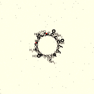 CCCC[C@H]1C(=O)N(C)[C@@H](CCCC)C(=O)N[C@@H](CC(C)C)C(=O)N[C@H](C(=O)NCC(N)=O)CSCC(=O)N[C@@H](Cc2ccc(O)cc2)C(=O)N(CC)[C@@H](C)C(=O)N[C@@H](CC(N)=O)C(=O)N2CCC[C@H]2C(=O)N[C@@H](Cc2cnc[nH]2)C(=O)C[C@@H](CCC(=O)O)C(=O)N2C[C@H](O)C[C@H]2C(=O)N[C@@H](Cc2c[nH]c3ccccc23)C(=O)N[C@@H](CCN)C(=O)N[C@@H](Cc2c[nH]c3ccccc23)C(=O)N1C